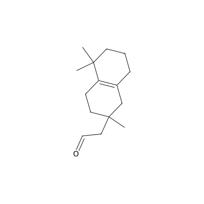 CC1(CC=O)CCC2=C(CCCC2(C)C)C1